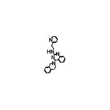 c1ccc(CCNc2nc(N3CCc4ccccc4C3)c3ccccc3n2)nc1